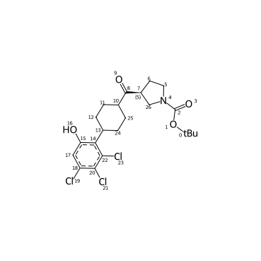 CC(C)(C)OC(=O)N1CC[C@H](C(=O)C2CCC(c3c(O)cc(Cl)c(Cl)c3Cl)CC2)C1